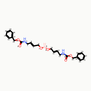 O=C(NCC=CCOBOCC=CCNC(=O)OCc1ccccc1)OCc1ccccc1